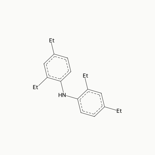 CCc1ccc(Nc2ccc(CC)cc2CC)c(CC)c1